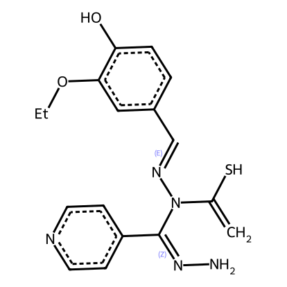 C=C(S)N(/N=C/c1ccc(O)c(OCC)c1)/C(=N\N)c1ccncc1